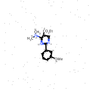 CCOC(=O)c1cnc(-c2cccc(OC)c2)nc1N(C)C